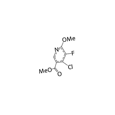 COC(=O)c1cnc(OC)c(F)c1Cl